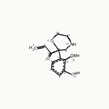 C=CC(=O)C1(c2cccc(OC)c2OC)CNCCO1